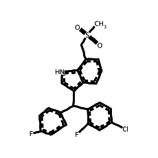 CS(=O)(=O)Cc1cccc2c(C(c3ccc(F)cc3)c3ccc(Cl)cc3F)c[nH]c12